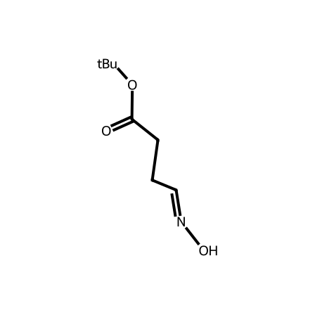 CC(C)(C)OC(=O)CC/C=N/O